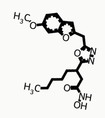 CCCCCC(CC(=O)NO)c1nnc(Cc2cc3ccc(OC)cc3o2)o1